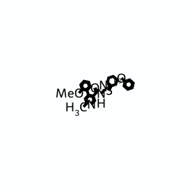 COc1ccccc1-c1cc(C)ncc1C(=O)Nc1nc2c(s1)C[C@H](Oc1ccccc1)CC2